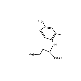 CCOC(=O)C(CCSC)Nc1ccc(N)cc1C